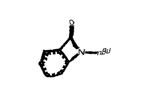 CCCCN1C(=O)c2ccccc21